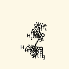 CNC(C)C(=O)N[C@H]1CCS[C@H]2CC(C)(C)[C@@H](C(=O)N[C@H]3c4ccccc4C[C@H]3OCC#CC#CCO[C@@H]3Cc4ccccc4[C@@H]3NC(=O)[C@H]3N4C(=O)[C@@H](NC(=S)C(C)NC)CCS[C@H]4CC3(C)C)N2C1=O